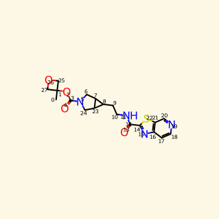 CC1(OC(=O)N2CC3C(CCNC(=O)c4nc5ccncc5s4)C3C2)COC1